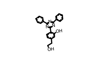 OCCc1ccc(-c2nc(-c3ccccc3)nc(-c3ccccc3)n2)c(O)c1